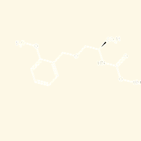 CC(C)(C)OC(=O)N[C@@H](COCc1ccccc1OC(F)(F)F)C(=O)O